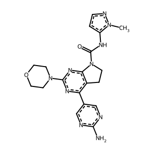 Cn1nccc1NC(=O)N1CCc2c(-c3cnc(N)nc3)nc(N3CCOCC3)nc21